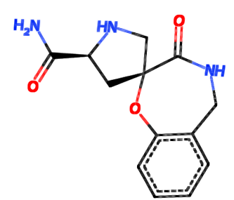 NC(=O)[C@@H]1C[C@]2(CN1)Oc1ccccc1CNC2=O